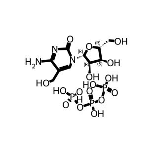 Nc1nc(=O)n([C@@H]2O[C@H](CO)[C@@H](O)[C@H]2O)cc1CO.O=P(O)(O)OP(=O)(O)OP(=O)(O)O